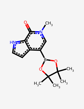 Cn1cc(B2OC(C)(C)C(C)(C)O2)c2cc[nH]c2c1=O